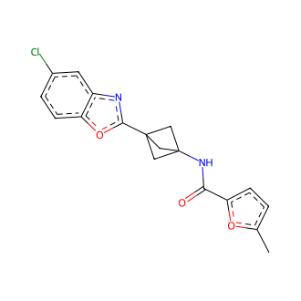 Cc1ccc(C(=O)NC23CC(c4nc5cc(Cl)ccc5o4)(C2)C3)o1